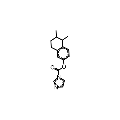 CC1CCc2cc(OC(=O)n3ccnc3)ccc2C1C